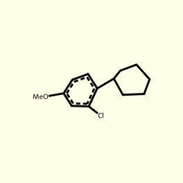 COc1ccc(C2CCCCC2)c(Cl)c1